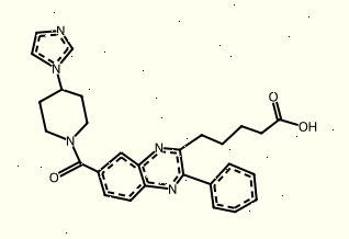 O=C(O)CCCCc1nc2cc(C(=O)N3CCC(n4ccnc4)CC3)ccc2nc1-c1ccccc1